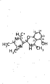 Cc1nc(C)c(C(=O)NC(C)c2ccccc2O)nc1C